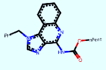 CCCCCOC(=O)Nc1nc2ccccc2c2c1ncn2CC(C)C